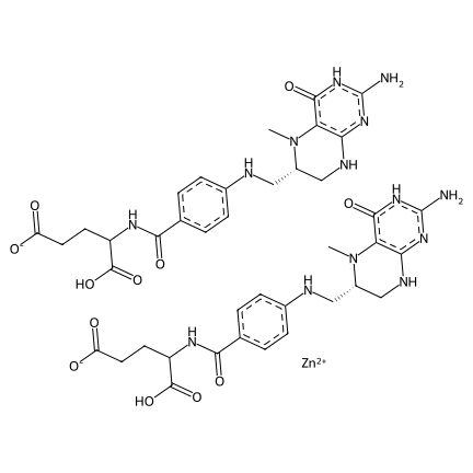 CN1c2c(nc(N)[nH]c2=O)NC[C@@H]1CNc1ccc(C(=O)NC(CCC(=O)[O-])C(=O)O)cc1.CN1c2c(nc(N)[nH]c2=O)NC[C@@H]1CNc1ccc(C(=O)NC(CCC(=O)[O-])C(=O)O)cc1.[Zn+2]